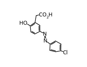 O=C(O)Cc1cc(N=Nc2ccc(Cl)cc2)ccc1O